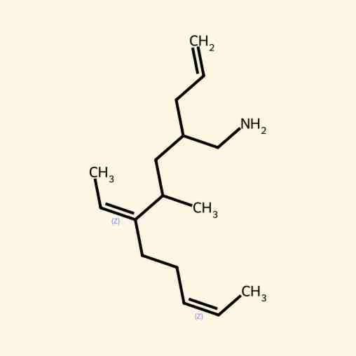 C=CCC(CN)CC(C)/C(=C\C)CC/C=C\C